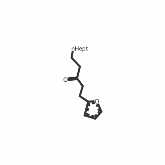 CCCCCCCCCC(=O)CCc1ccco1